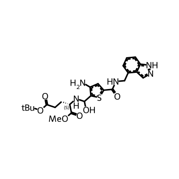 COC(=O)[C@H](CCC(=O)OC(C)(C)C)NC(O)c1sc(C(=O)NCc2cccc3[nH]ncc23)cc1N